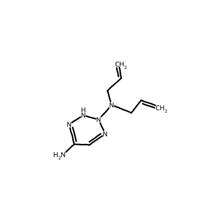 C=CCN(CC=C)N1N=CC(N)=NN1